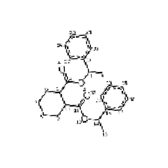 CC(OC(=O)C1CCCCC1C(=O)OC(C)c1ccccc1)c1ccccc1